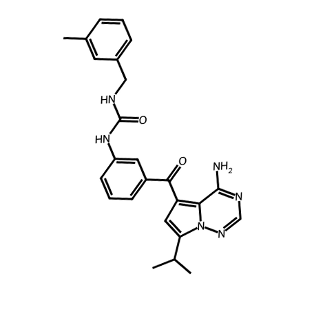 Cc1cccc(CNC(=O)Nc2cccc(C(=O)c3cc(C(C)C)n4ncnc(N)c34)c2)c1